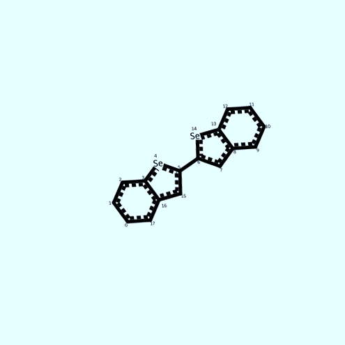 c1ccc2[se]c(-c3cc4ccccc4[se]3)cc2c1